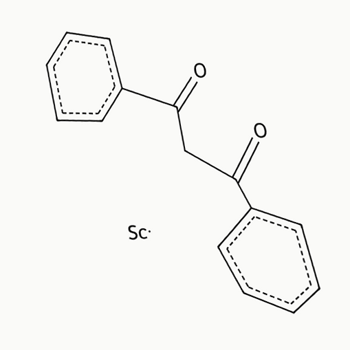 O=C(CC(=O)c1ccccc1)c1ccccc1.[Sc]